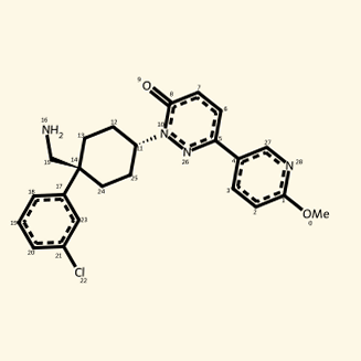 COc1ccc(-c2ccc(=O)n([C@H]3CC[C@@](CN)(c4cccc(Cl)c4)CC3)n2)cn1